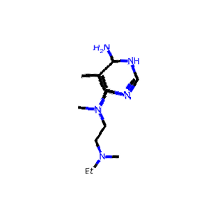 CCN(C)CCN(C)C1=C(C)C(N)NC=N1